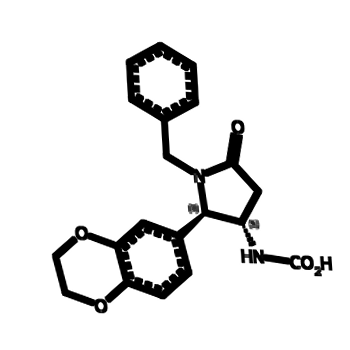 O=C(O)N[C@H]1CC(=O)N(Cc2ccccc2)[C@@H]1c1ccc2c(c1)OCCO2